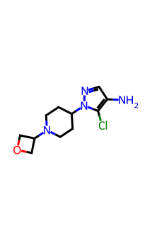 Nc1cnn(C2CCN(C3COC3)CC2)c1Cl